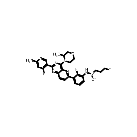 CC1COCCN1c1nc(-c2cnc(N)cc2F)nc2ccc(-c3cccc(N[S+]([O-])CCCF)c3F)nc12